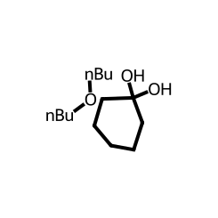 CCCCOCCCC.OC1(O)CCCCC1